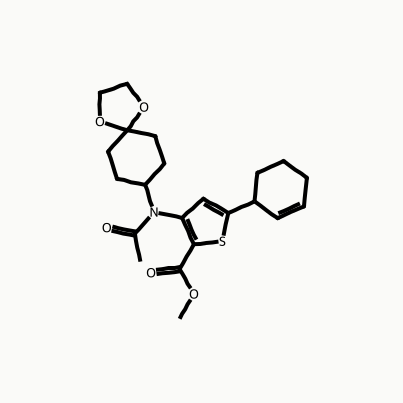 COC(=O)c1sc(C2C=CCCC2)cc1N(C(C)=O)C1CCC2(CC1)OCCO2